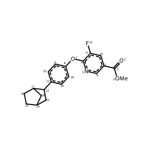 COC(=O)c1cnc(Oc2ccc(C3CC4CCC3C4)cc2)c(F)c1